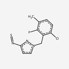 Cc1ccc(Cl)c(Cn2ccc(N=S)n2)c1F